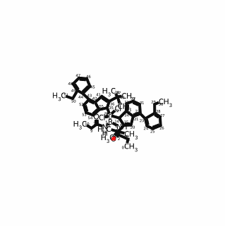 CCC(=O)N[B](NC(=O)CC)[Zr]([Cl])([Cl])([CH]1C(C(C)(C)C)=Cc2c(-c3ccccc3CC)cccc21)[CH]1C(C(C)(C)C)=Cc2c(-c3ccccc3CC)cccc21